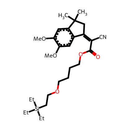 CC[Si](CC)(CC)CCOCCCCOC(=O)C(C#N)=C1CC(C)(C)c2cc(OC)c(OC)cc21